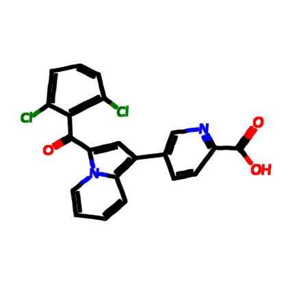 O=C(O)c1ccc(-c2cc(C(=O)c3c(Cl)cccc3Cl)n3ccccc23)cn1